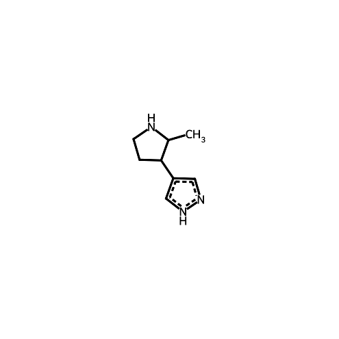 CC1NCCC1c1cn[nH]c1